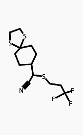 N#CC(SCCC(F)(F)F)C1CCC2(CC1)SCCS2